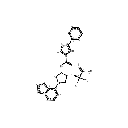 O=C(N[C@H]1CCN(c2nccn3cccc23)C1)c1nnc(-c2ccccc2)[nH]1.O=C(O)C(F)(F)F